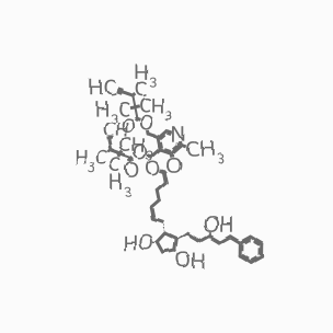 C#CC(C)C(C)(C)C(=O)OCc1cnc(C)c(OC(=O)CCC/C=C\C[C@@H]2[C@@H](CC[C@@H](O)CCc3ccccc3)[C@H](O)C[C@@H]2O)c1COC(=O)C(C)(C)C(C)C#C